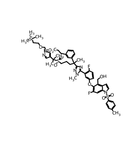 CCOC(=O)CCc1cccc(C(C)(CCCS(=O)(=O)C(C)(C)c2cnn(COCC[Si](C)(C)C)c2)c2nc(-c3cc(Oc4c(F)cc5c(ccn5S(=O)(=O)c5ccc(C)cc5)c4CO)ccc3F)n(C)n2)c1